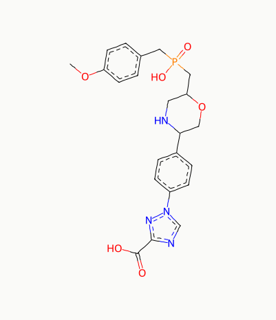 COc1ccc(CP(=O)(O)CC2CNC(c3ccc(-n4cnc(C(=O)O)n4)cc3)CO2)cc1